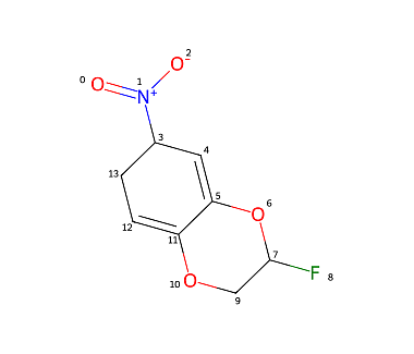 O=[N+]([O-])C1C=C2OC(F)COC2=CC1